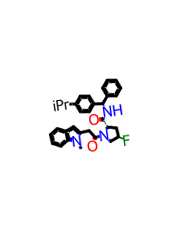 CC(C)c1ccc([C@@H](NC(=O)[C@@H]2C[C@@H](F)CN2C(=O)Cc2cc3ccccc3n2C)c2ccccc2)cc1